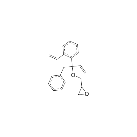 C=Cc1ccccc1C(C=C)(Cc1ccccc1)OCC1CO1